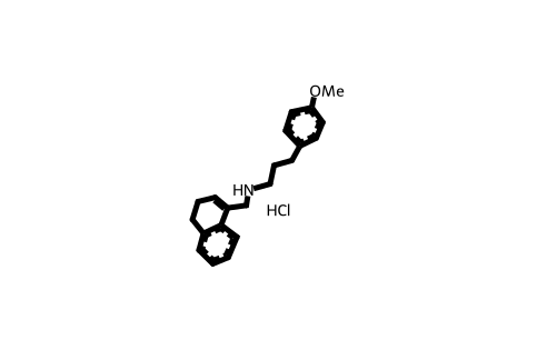 COc1ccc(CCCNCC2=CCCc3ccccc32)cc1.Cl